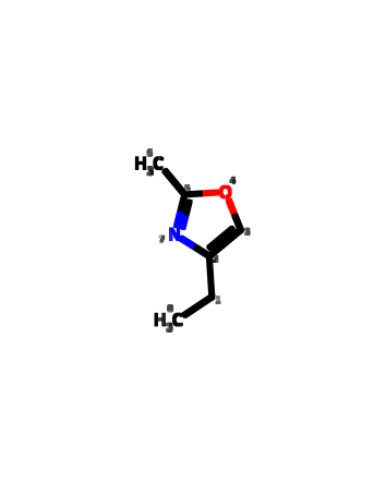 CCc1coc(C)n1